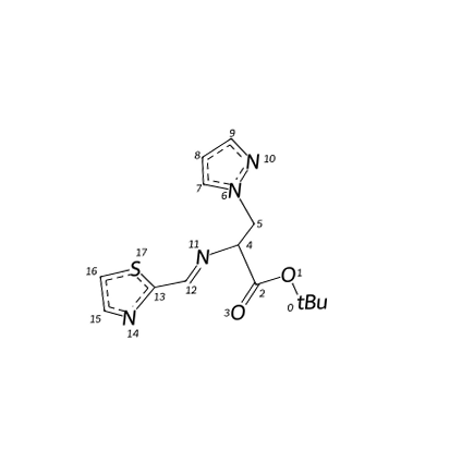 CC(C)(C)OC(=O)C(Cn1cccn1)N=Cc1nccs1